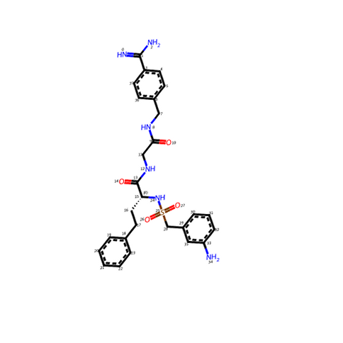 N=C(N)c1ccc(CNC(=O)CNC(=O)[C@@H](CCc2ccccc2)NS(=O)(=O)Cc2cccc(N)c2)cc1